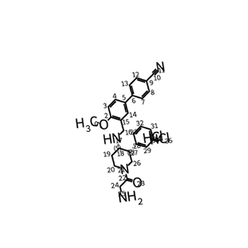 COc1ccc(-c2ccc(C#N)cc2)cc1CN[C@H]1CCN(C(=O)CN)C[C@H]1c1ccccc1.Cl.Cl